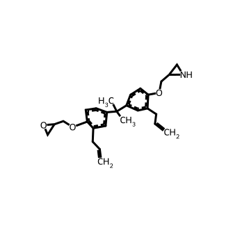 C=CCc1cc(C(C)(C)c2ccc(OCC3CO3)c(CC=C)c2)ccc1OCC1CN1